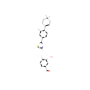 COc1cc(C(=O)O)c(F)cc1NSc1csc(-c2ccc(C3=CCC(C)(C)CC3)c(C)c2)n1